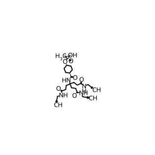 C#CCNC(=O)CCC(CCC(=O)NCC#C)(CCC(=O)NCC#C)NC(=O)[C@H]1CC[C@H](OP(C)(=O)O)CC1